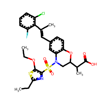 CCOc1sc(CC)nc1S(=O)(=O)N1CC(C(C)C(=O)O)Oc2ccc(C=C(C)c3c(F)cccc3Cl)cc21